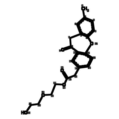 Cc1ccc2c(c1)CC(=O)c1cc(CC(=O)OCCOCCO)ccc1O2